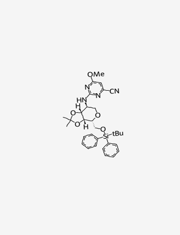 COc1cc(C#N)nc(N[C@H]2CO[C@H](CO[Si](c3ccccc3)(c3ccccc3)C(C)(C)C)[C@@H]3OC(C)(C)O[C@@H]32)n1